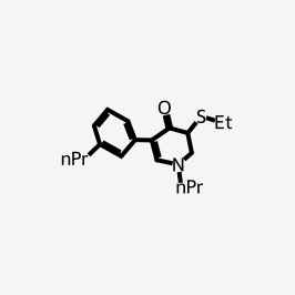 CCCc1cccc(C2=CN(CCC)CC(SCC)C2=O)c1